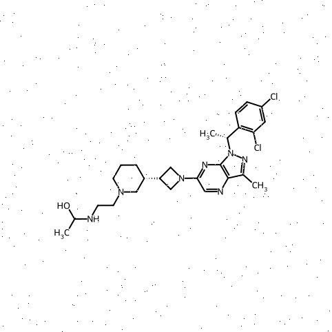 Cc1nn([C@H](C)c2ccc(Cl)cc2Cl)c2nc(N3CC([C@H]4CCCN(CCNC(C)O)C4)C3)cnc12